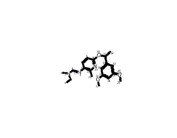 CCN(C)/C=N/c1ccc(OC(C)c2cc(OC)cc(OC)c2)nc1C